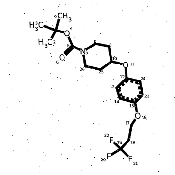 CC(C)(C)OC(=O)N1CCC(Oc2ccc(OCCC(F)(F)F)cc2)CC1